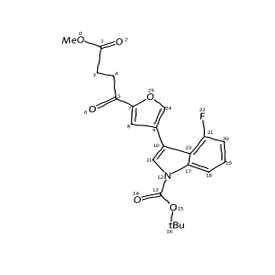 COC(=O)CCC(=O)c1cc(-c2cn(C(=O)OC(C)(C)C)c3cccc(F)c23)co1